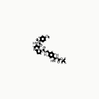 COc1ccc(S(=O)(=O)Nc2cnc3n(c2=O)[C@H](C(=O)NCc2ccc(C(=N)NC(=O)OC(C)(C)C)cc2)CC3)cc1